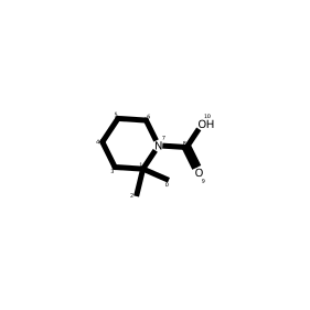 CC1(C)CCCCN1C(=O)O